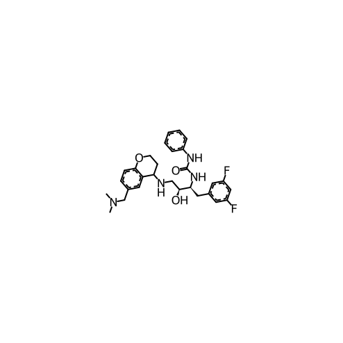 CN(C)Cc1ccc2c(c1)C(NC[C@H](O)[C@H](Cc1cc(F)cc(F)c1)NC(=O)Nc1ccccc1)CCO2